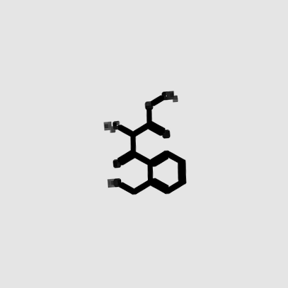 COC(=O)C(C)C(=O)c1ccccc1CO